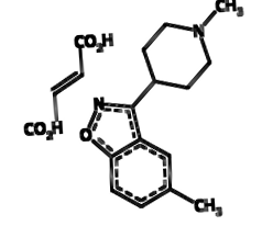 Cc1ccc2onc(C3CCN(C)CC3)c2c1.O=C(O)C=CC(=O)O